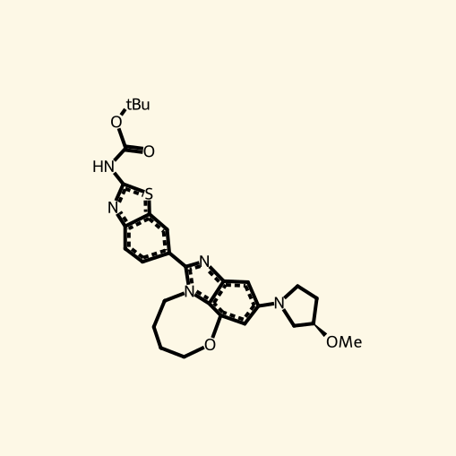 CO[C@@H]1CCN(c2cc3c4c(c2)nc(-c2ccc5nc(NC(=O)OC(C)(C)C)sc5c2)n4CCCCO3)C1